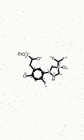 CCOC(=O)C(Cl)Cc1cc(N2C[N+]([O-])(C(F)F)CN2)c(F)cc1Cl